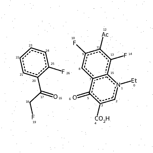 CCn1cc(C(=O)O)c(=O)c2cc(F)c(C(C)=O)c(F)c21.O=C(CF)c1ccccc1F